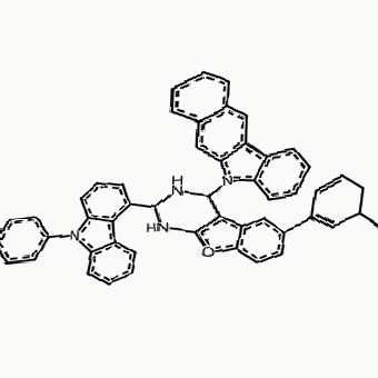 CC1C=C(c2ccc3oc4c(c3c2)C(n2c3ccccc3c3cc5ccccc5cc32)NC(c2cccc3c2c2ccccc2n3-c2ccccc2)N4)C=CC1